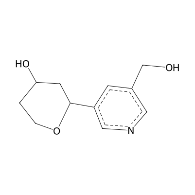 OCc1cncc(C2CC(O)CCO2)c1